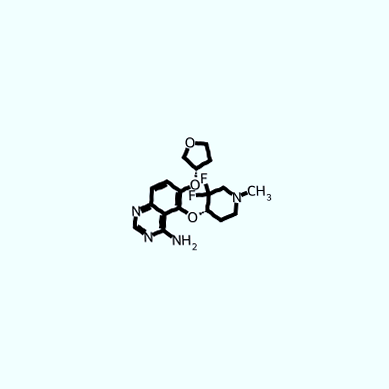 CN1CC[C@H](Oc2c(O[C@H]3CCOC3)ccc3ncnc(N)c23)C(F)(F)C1